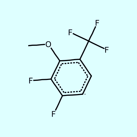 COc1c(C(F)(F)F)c[c]c(F)c1F